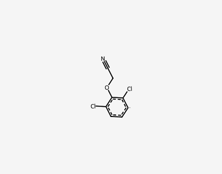 N#CCOc1c(Cl)[c]ccc1Cl